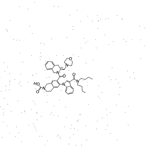 CCCCN(CCCC)C(=O)c1cn(-c2cc3c(cc2C(=O)N2Cc4ccccc4C[C@H]2CN2CCOCC2)CN(C(=O)O)CC3)c2ccccc12